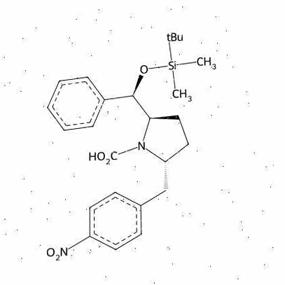 CC(C)(C)[Si](C)(C)O[C@H](c1ccccc1)[C@H]1CC[C@H](Cc2ccc([N+](=O)[O-])cc2)N1C(=O)O